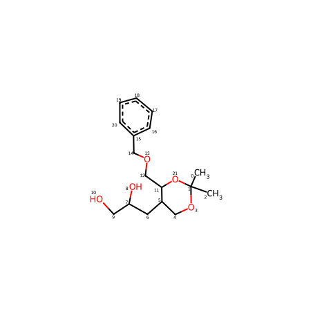 CC1(C)OCC(CC(O)CO)C(COCc2ccccc2)O1